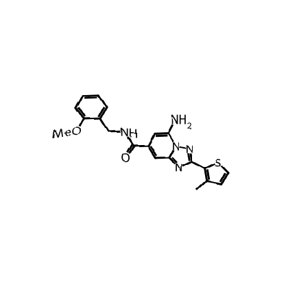 COc1ccccc1CNC(=O)c1cc(N)n2nc(-c3sccc3C)nc2c1